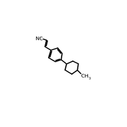 CC1CCC(c2ccc(C=CC#N)cc2)CC1